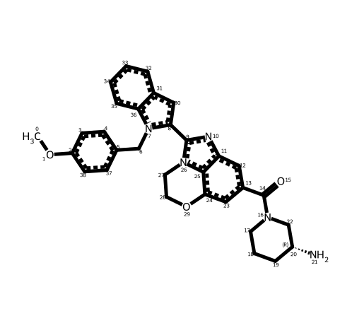 COc1ccc(Cn2c(-c3nc4cc(C(=O)N5CCC[C@@H](N)C5)cc5c4n3CCO5)cc3ccccc32)cc1